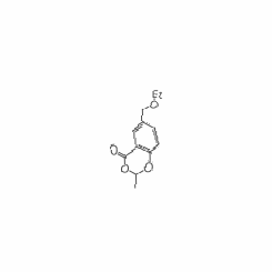 CCOCc1ccc2c(c1)C(=O)OC(C)O2